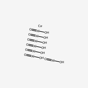 [Ca].[O]=[Al][OH].[O]=[Al][OH].[O]=[Al][OH].[O]=[Al][OH].[O]=[Al][OH].[O]=[Al][OH].[O]=[Al][OH]